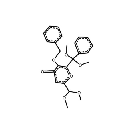 COC(OC)c1cc(=O)c(OCc2ccccc2)c(C(OC)(OC)c2ccccc2)o1